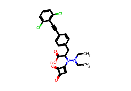 CCN(CC)N(c1cc(=O)c1=O)C(Cc1ccc(C#Cc2c(Cl)cccc2Cl)cc1)C(=O)O